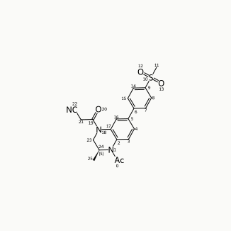 CC(=O)N1c2ccc(-c3ccc(S(C)(=O)=O)cc3)cc2N(C(=O)CC#N)C[C@@H]1C